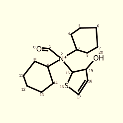 O=C[N+](C1CCCCC1)(C1CCCCC1)C1SC=CC1O